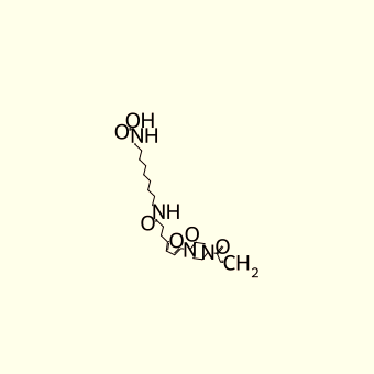 C=CC(=O)N1CCN(c2ccc(CCC(=O)NCCCCCCCCCNC(=O)O)o2)C(=O)C1